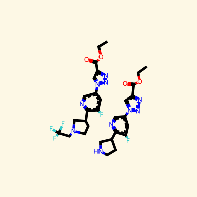 CCOC(=O)c1cn(-c2cnc(C3CCN(CC(F)(F)F)C3)c(F)c2)nn1.CCOC(=O)c1cn(-c2cnc(C3CCNC3)c(F)c2)nn1